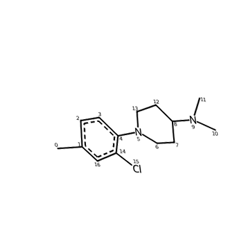 Cc1ccc(N2CCC(N(C)C)CC2)c(Cl)c1